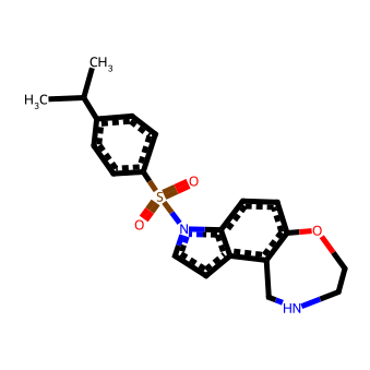 CC(C)c1ccc(S(=O)(=O)n2ccc3c4c(ccc32)OCCNC4)cc1